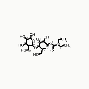 CCN(CC)C(=S)SC1OC(CO)C(OC2OC(O)C(O)C(O)C2CO)C(O)C1O